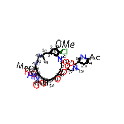 COc1cc2cc(c1Cl)N(C)C(=O)C[C@H](OC(=O)CN(C)C(=O)c1ccc(C(C)=O)nc1)C1(C)OC1[C@H](C)[C@@H]1C[C@@](O)(NC(=O)O1)[C@H](OC)/C=C/C=C(\C)C2